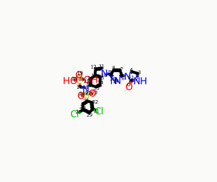 O=C1NCCN1c1ccc(-n2ccc3cc(N(CP(=O)(O)O)S(=O)(=O)c4cc(Cl)cc(Cl)c4)ccc32)nn1